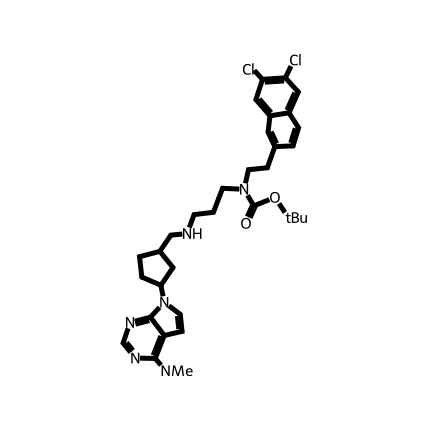 CNc1ncnc2c1ccn2C1CCC(CNCCCN(CCc2ccc3cc(Cl)c(Cl)cc3c2)C(=O)OC(C)(C)C)C1